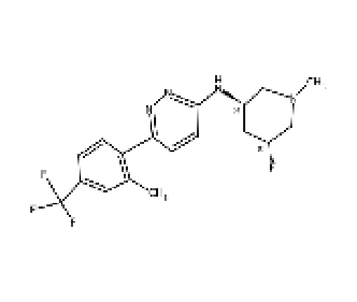 Cc1cc(C(F)(F)F)ccc1-c1ccc(N[C@@H]2C[C@@H](F)CN(C)C2)nn1